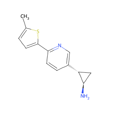 Cc1ccc(-c2ccc([C@@H]3C[C@H]3N)cn2)s1